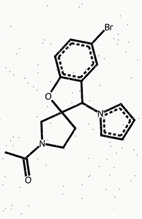 CC(=O)N1CCC2(C1)Oc1ccc(Br)cc1C2n1cccc1